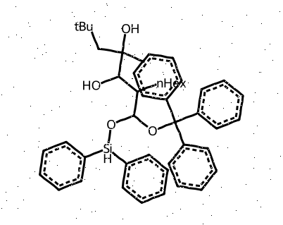 CCCCCCC(C(O[SiH](c1ccccc1)c1ccccc1)OC(c1ccccc1)(c1ccccc1)c1ccccc1)C(O)C(C)(O)CC(C)(C)C